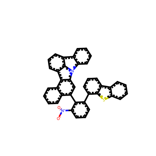 O=[N+]([O-])c1cccc(-c2cccc3c2sc2ccccc23)c1-c1cc2c(c3ccccc13)c1cccc3c4ccccc4n2c31